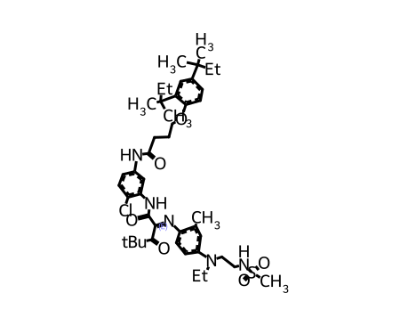 CCN(CCNS(C)(=O)=O)c1ccc(/N=C(/C(=O)Nc2cc(NC(=O)CCCOc3ccc(C(C)(C)CC)cc3C(C)(C)CC)ccc2Cl)C(=O)C(C)(C)C)c(C)c1